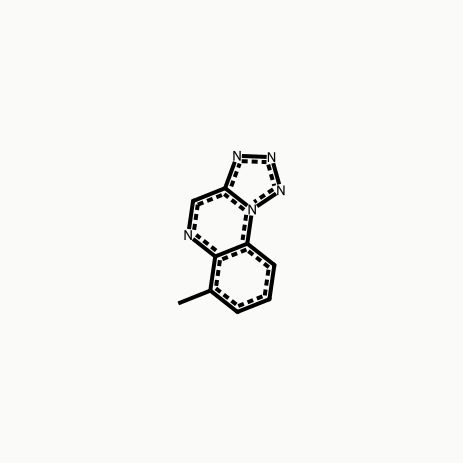 Cc1cccc2c1ncc1nnnn12